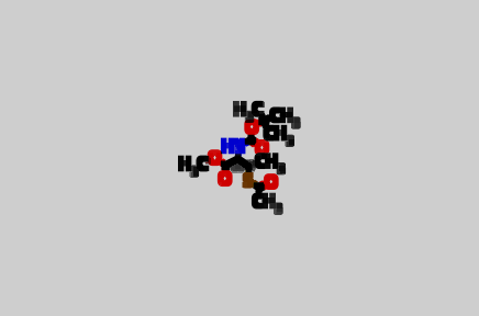 COC(=O)[C@@H](NC(=O)OC(C)(C)C)[C@H](C)SC(C)=O